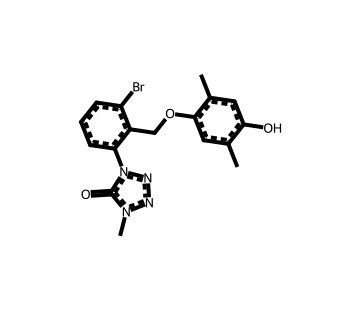 Cc1cc(OCc2c(Br)cccc2-n2nnn(C)c2=O)c(C)cc1O